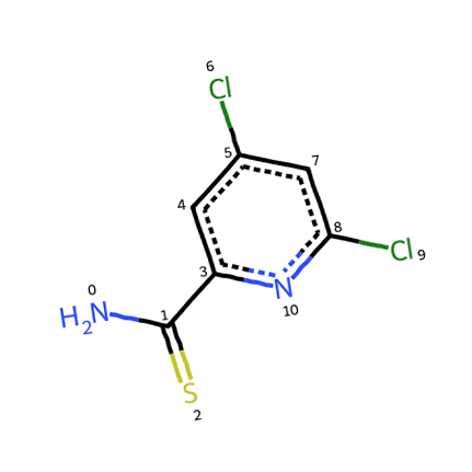 NC(=S)c1cc(Cl)cc(Cl)n1